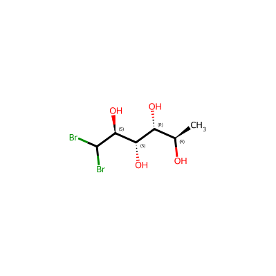 C[C@@H](O)[C@@H](O)[C@H](O)[C@H](O)C(Br)Br